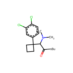 CCCCC(=O)C(N(C)C)C1(c2ccc(Cl)c(Cl)c2)CCC1